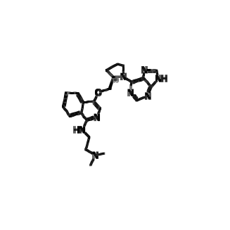 CN(C)CCNc1ncc(OC[C@H]2CCCN2c2ncnc3[nH]cnc23)c2ccccc12